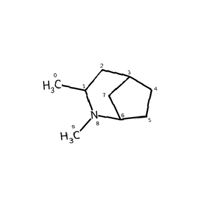 CC1CC2CCC(C2)N1C